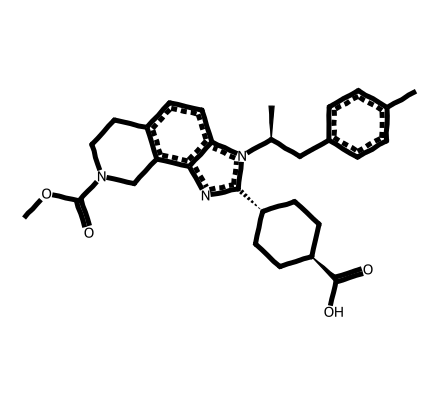 COC(=O)N1CCc2ccc3c(nc([C@H]4CC[C@H](C(=O)O)CC4)n3[C@@H](C)Cc3ccc(C)cc3)c2C1